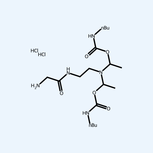 CCCCNC(=O)OC(C)N(CCNC(=O)CN)C(C)OC(=O)NCCCC.Cl.Cl